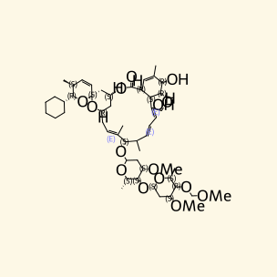 COCO[C@@H]1[C@H](C)O[C@@H](O[C@H]2[C@H](C)OC(O[C@@H]3/C(C)=C/C[C@@H]4C[C@@H](C[C@]5(C=C[C@H](C)[C@@H](C6CCCCC6)O5)O4)OC(=O)[C@@H]4C=C(C)[C@@H](O)[C@H]5OC/C(=C\C=C\C3C)[C@]54O)C[C@@H]2OC)C[C@@H]1OC